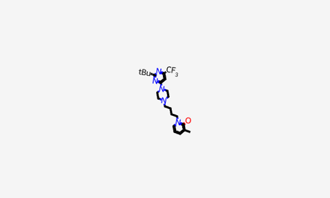 Cc1cccn(CCCCN2CCN(c3cc(C(F)(F)F)nc(C(C)(C)C)n3)CC2)c1=O